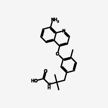 Cc1ccc(CC(C)(C)NC(=O)O)cc1Oc1ccnc2c(N)cccc12